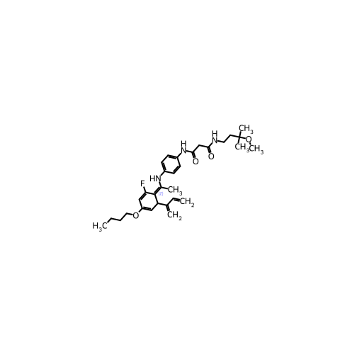 C=CC(=C)C1C=C(OCCCC)C=C(F)/C1=C(/C)Nc1ccc(NC(=O)CC(=O)NCCC(C)(C)OC)cc1